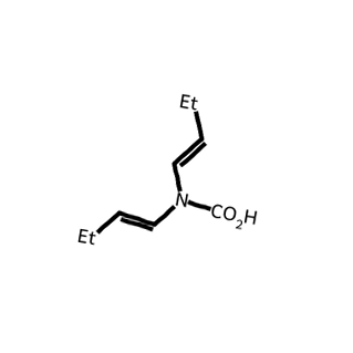 CCC=CN(C=CCC)C(=O)O